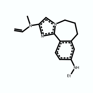 C=CN(C)c1cn2c(n1)-c1ccc(NCC)cc1CCC2